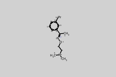 C/C(=N\OCCN(C)C)c1cccc(C(C)C)c1